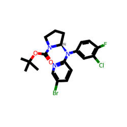 CC(C)(C)OC(=O)N1CCC[C@H]1N(c1ccc(F)c(Cl)c1)c1ccc(Br)cn1